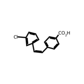 O=C(O)c1ccc(/C=C\c2cccc(Cl)c2)cc1